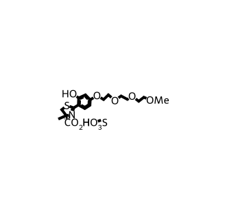 COCCOCCOCCOc1ccc(C2=N[C@@](C)(C(=O)O)CS2)c(O)c1.CS(=O)(=O)O